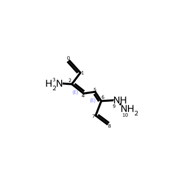 C=C/C(N)=C\C=C(/C=C)NN